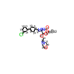 CCCCOC(=O)NC(CCc1ccc(-c2cccc(Cl)c2)cc1)C(=O)OCCN1CCOCC1